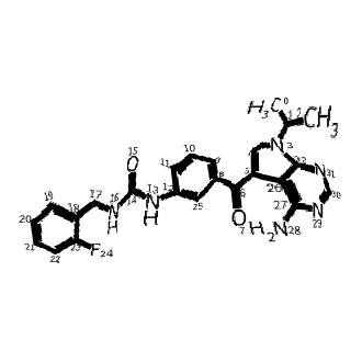 CC(C)n1cc(C(=O)c2cccc(NC(=O)NCc3ccccc3F)c2)c2c(N)ncnc21